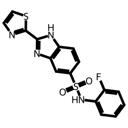 O=S(=O)(Nc1ccccc1F)c1ccc2[nH]c(-c3nccs3)nc2c1